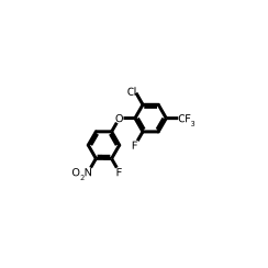 O=[N+]([O-])c1ccc(Oc2c(F)cc(C(F)(F)F)cc2Cl)cc1F